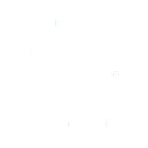 FC(F)C1=CCOC(C(F)F)=C1